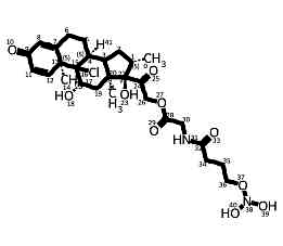 C[C@H]1CC2[C@@H]3CCC4=CC(=O)C=C[C@]4(C)C3(Cl)[C@@H](O)C[C@]2(C)[C@@]1(O)C(=O)COC(=O)CNC(=O)CCCON(O)O